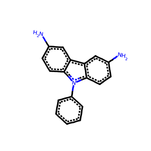 Nc1ccc2c(c1)c1cc(N)ccc1n2-c1ccccc1